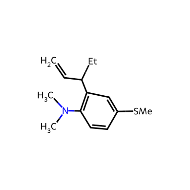 C=CC(CC)c1cc(SC)ccc1N(C)C